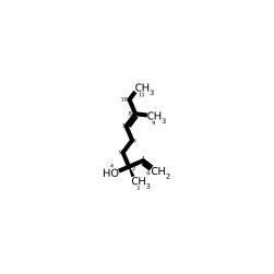 C=C[C@](C)(O)CC/C=C(\C)CC